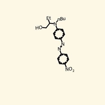 CCCCN(c1ccc(/N=N/c2ccc([N+](=O)[O-])cc2)cc1)C(CC)CO